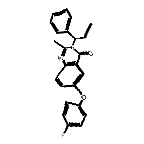 CC[C@H](c1ccccc1)n1c(C)nc2ccc(Oc3ccc(F)cc3)cc2c1=O